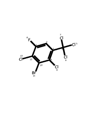 Fc1cc(C(Cl)(Cl)Cl)c(Cl)c(Br)c1Cl